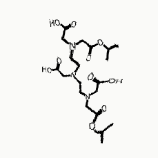 CC(C)OC(=O)CN(CCN(CCN(CC(=O)O)CC(=O)OC(C)C)CC(=O)O)CC(=O)O